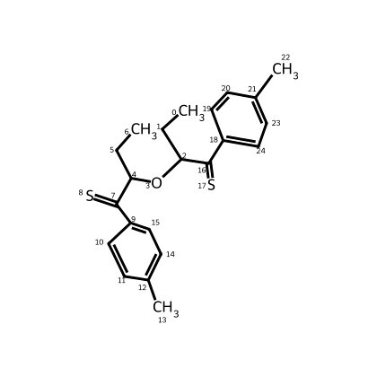 CCC(OC(CC)C(=S)c1ccc(C)cc1)C(=S)c1ccc(C)cc1